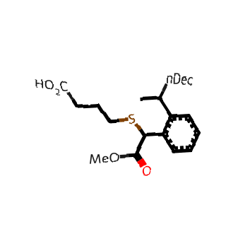 CCCCCCCCCCC(C)c1ccccc1C(SCCCC(=O)O)C(=O)OC